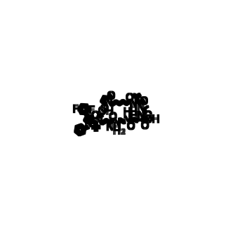 CC(C)[C@H](NC(=O)CCCCCN1C(=O)C=CC1=O)C(=O)N[C@@H](C)C(=O)N[C@@H](CCC(=O)NCCNC(=O)[C@@H](N)CCN(C(=O)CO)[C@@H](c1cc(-c2cc(F)ccc2F)cn1Cc1ccccc1)C(C)(C)C)C(=O)O